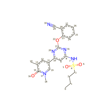 CCCCS(=O)(=O)Nc1cc(-c2cc(C)c(=O)n(C)c2)nc(Oc2ccccc2C#N)n1